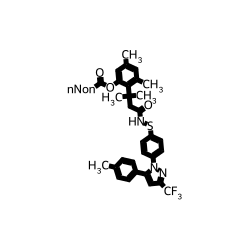 CCCCCCCCCC(=O)Oc1cc(C)cc(C)c1C(C)(C)CC(=O)NSc1ccc(-n2nc(C(F)(F)F)cc2-c2ccc(C)cc2)cc1